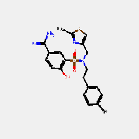 Cc1nc(CN(CCc2ccc(C(C)C)cc2)S(=O)(=O)c2cc(C(=N)N)ccc2O)cs1